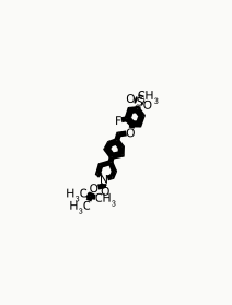 CC(C)(C)OC(=O)N1CCC(c2ccc(COc3ccc(S(C)(=O)=O)cc3F)cc2)CC1